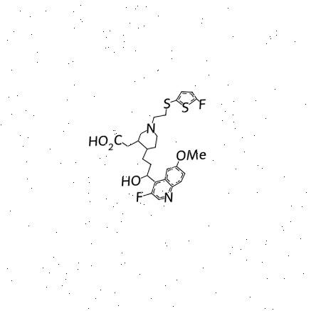 COc1ccc2ncc(F)c(C(O)CCC3CCN(CCSc4ccc(F)s4)CC3CC(=O)O)c2c1